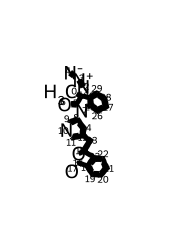 CC1(N=[N+]=[N-])C(=O)N(c2cncc(C=C3OC(=O)c4ccccc43)c2)c2ccccc21